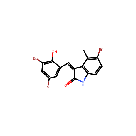 Cc1c(Br)ccc2c1C(=Cc1cc(Br)cc(Br)c1O)C(=O)N2